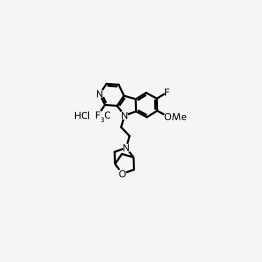 COc1cc2c(cc1F)c1ccnc(C(F)(F)F)c1n2CCN1CC2CC1CO2.Cl